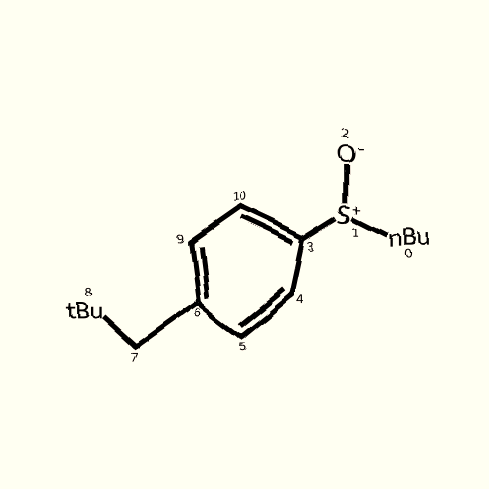 CCCC[S+]([O-])c1ccc(CC(C)(C)C)cc1